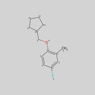 Cc1cc(F)ccc1OCC1CCCC1